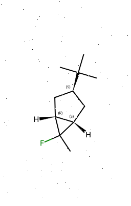 CC(C)(C)[C@@H]1C[C@@H]2[C@H](C1)C2(C)F